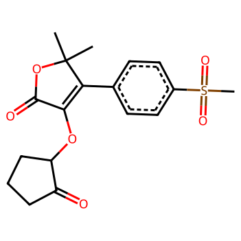 CC1(C)OC(=O)C(OC2CCCC2=O)=C1c1ccc(S(C)(=O)=O)cc1